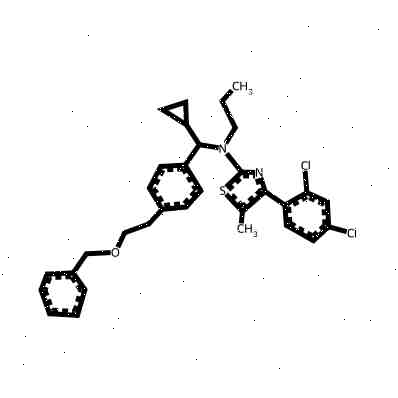 CCCN(c1nc(-c2ccc(Cl)cc2Cl)c(C)s1)C(c1ccc(CCOCc2ccccc2)cc1)C1CC1